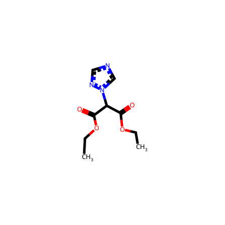 CCOC(=O)C(C(=O)OCC)n1cncn1